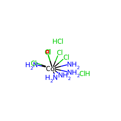 Cl.Cl.[NH2][Co]([NH2])([NH2])([NH2])([NH2])([Cl])([Cl])([Cl])([Cl])[Cl]